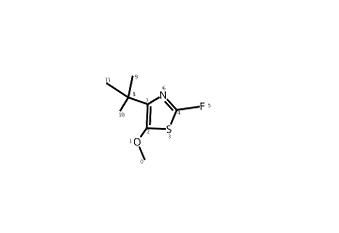 COc1sc(F)nc1C(C)(C)C